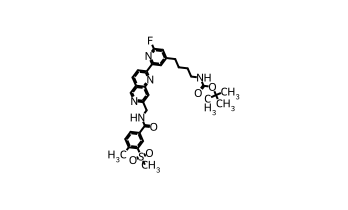 Cc1ccc(C(=O)NCc2cc3nc(-c4cc(CCCCNC(=O)OC(C)(C)C)cc(F)n4)ccc3cn2)cc1S(C)(=O)=O